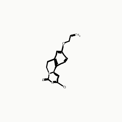 C=CCOc1ccc2c(c1)CCn1c-2cc(Cl)nc1=O